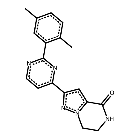 Cc1ccc(C)c(-c2nccc(-c3cc4n(n3)CCNC4=O)n2)c1